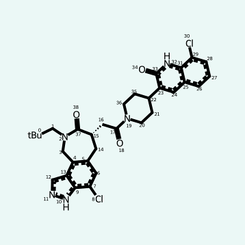 CC(C)(C)CN1Cc2c(cc(Cl)c3[nH]ncc23)C[C@@H](CC(=O)N2CCC(c3cc4cccc(Cl)c4[nH]c3=O)CC2)C1=O